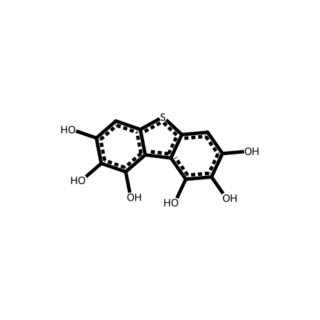 Oc1cc2sc3cc(O)c(O)c(O)c3c2c(O)c1O